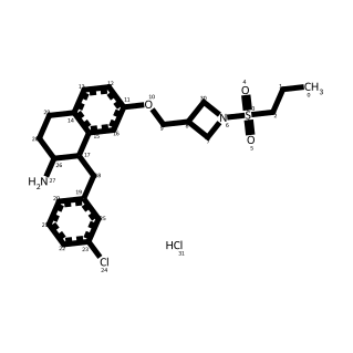 CCCS(=O)(=O)N1CC(COc2ccc3c(c2)C(Cc2cccc(Cl)c2)C(N)CC3)C1.Cl